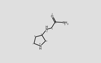 NC(=O)CNC1CCNC1